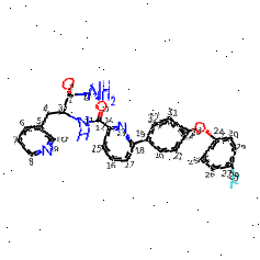 NC(=O)C(Cc1cccnc1)NC(=O)c1cccc(-c2ccc(Oc3ccc(F)cc3)cc2)n1